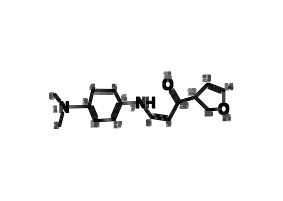 CN(C)c1ccc(N/C=C\C(=O)C2C=COC2)cc1